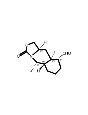 C[C@H]1[C@H]2CCC[C@@H](C=O)[C@@H]2C[C@@H]2COC(=O)N21